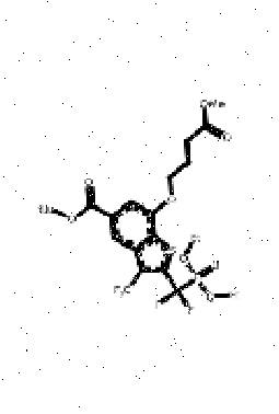 CCOP(=O)(OCC)C(F)(F)c1sc2c(OCCCC(=O)OC)cc(C(=O)OC(C)(C)C)cc2c1C(F)(F)F